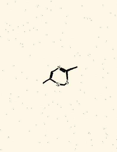 CC1=CN=C(C)SS1